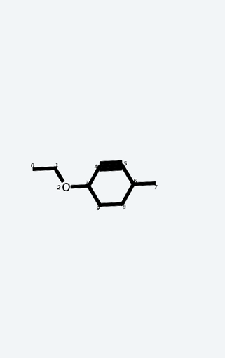 CCOC1C#CC(C)CC1